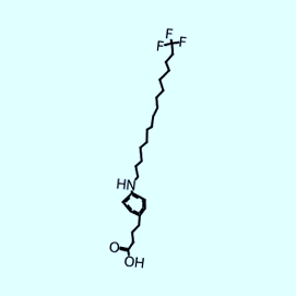 O=C(O)CCCc1ccc(NCCCCCCCCCCCCCCCC(F)(F)F)cc1